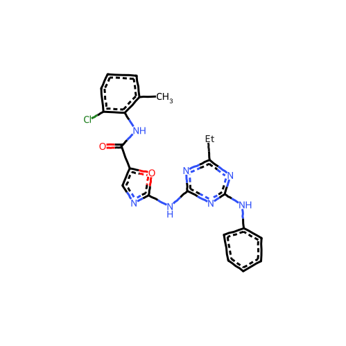 CCc1nc(Nc2ccccc2)nc(Nc2ncc(C(=O)Nc3c(C)cccc3Cl)o2)n1